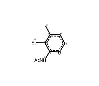 CCc1c(C)ccnc1NC(C)=O